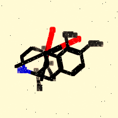 COc1ccc2c(c1OC)[C@]13CCN[C@H](C2)[C@@H]1CCC(=O)C3=O